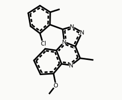 COc1cccc2c1nc(C)c1nnc(-c3c(C)cccc3Cl)n12